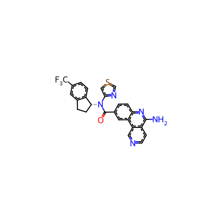 Nc1nc2ccc(C(=O)N(c3cscn3)[C@@H]3CCc4cc(C(F)(F)F)ccc43)cc2c2cnccc12